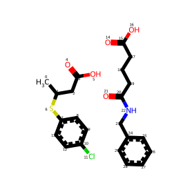 CC(CC(=O)O)Sc1ccc(Cl)cc1.O=C(O)CCCC(=O)NCc1ccccc1